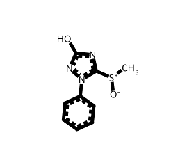 C[S+]([O-])c1nc(O)nn1-c1ccccc1